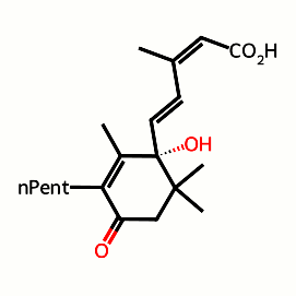 CCCCCC1=C(C)[C@@](O)(/C=C/C(C)=C\C(=O)O)C(C)(C)CC1=O